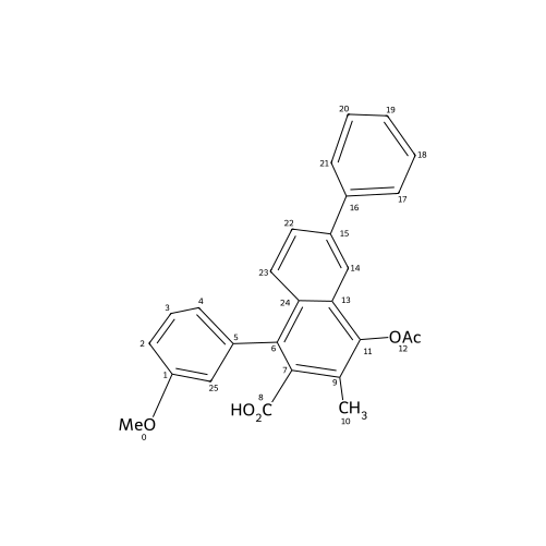 COc1cccc(-c2c(C(=O)O)c(C)c(OC(C)=O)c3cc(-c4ccccc4)ccc23)c1